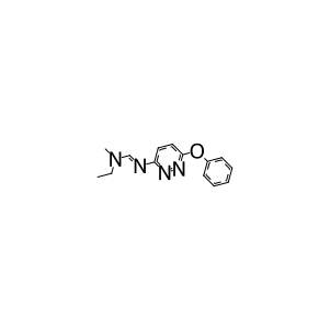 CCN(C)/C=N/c1ccc(Oc2ccccc2)nn1